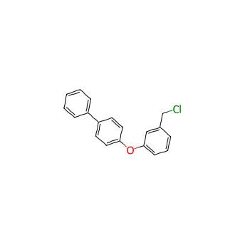 ClCc1cccc(Oc2ccc(-c3ccccc3)cc2)c1